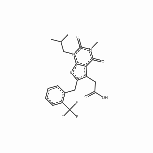 CC(C)Cn1c(=O)n(C)c(=O)c2c(CC(=O)O)c(Cc3ccccc3C(F)(F)F)sc21